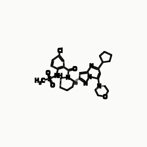 CS(=O)(=O)Nc1ccc(Cl)cc1C(=O)N1CCCC[C@H]1c1cc2nc(C3CCCC3)cc(N3CCOCC3)n2n1